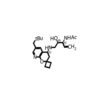 C=C[C@H](NC(C)=O)[C@H](O)CN[C@H]1CC2(CCC2)Oc2ncc(CC(C)(C)C)cc21